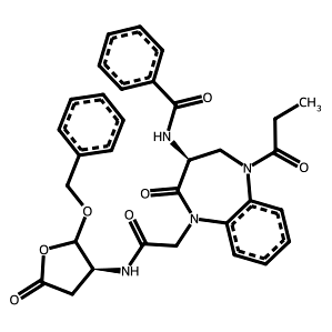 CCC(=O)N1C[C@H](NC(=O)c2ccccc2)C(=O)N(CC(=O)N[C@H]2CC(=O)OC2OCc2ccccc2)c2ccccc21